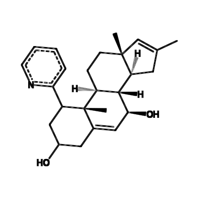 CC1=C[C@@]2(C)CC[C@H]3[C@@H]([C@@H](O)C=C4CC(O)CC(c5ccccn5)[C@@]43C)[C@@H]2C1